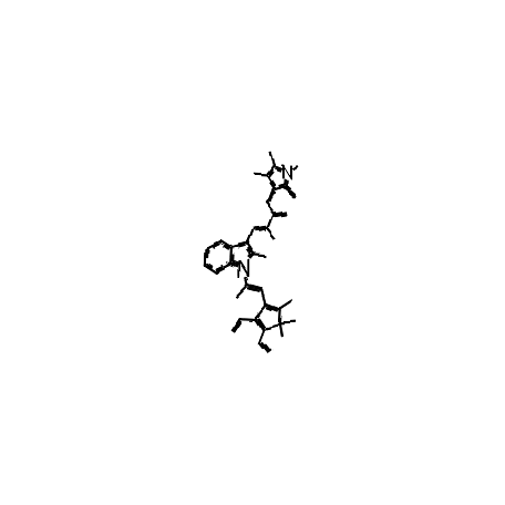 C=CC1=C(C=C)C(C)(C)C(C)=C1/C=C(\C)n1c(C)c(/C=C(\C)C(=C)/C=c2/c(C)c(C)n(C)c2=C)c2ccccc21